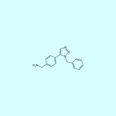 NCc1ccc(-c2cnnn2Cc2ccccc2)cc1